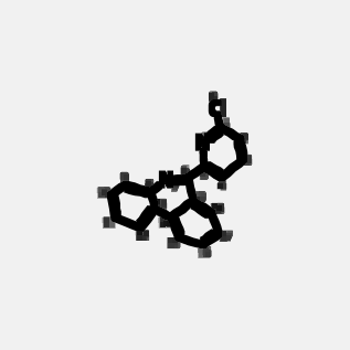 Clc1cccc(-c2nc3ccccc3c3ccccc23)n1